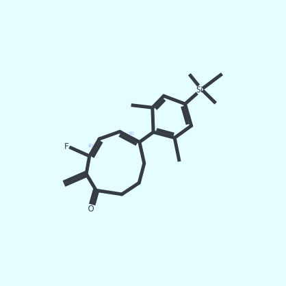 C=C1C(=O)CCC/C(c2c(C)cc([Si](C)(C)C)cc2C)=C\C=C/1F